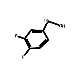 OBc1ccc(F)c(F)c1